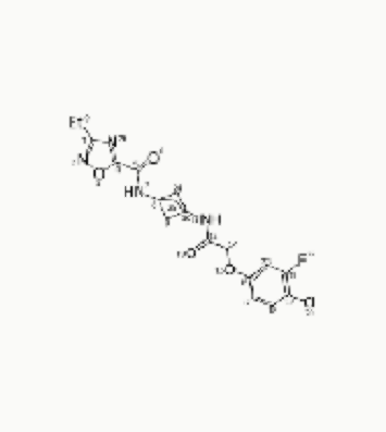 CCc1noc(C(=O)NC23CC(NC(=O)COc4ccc(Cl)c(F)c4)(C2)C3)n1